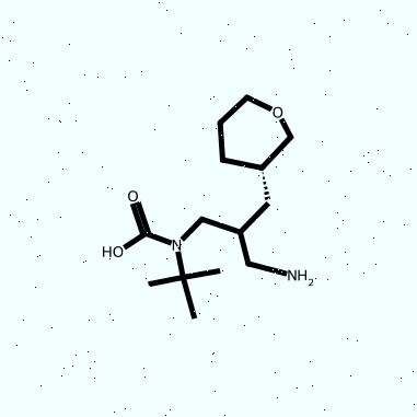 CC(C)(C)N(CC(CN)C[C@@H]1CCCOC1)C(=O)O